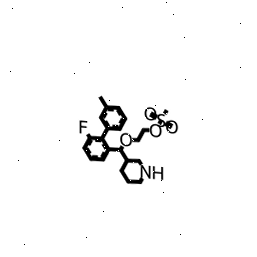 Cc1cccc(-c2c(F)cccc2C(OCCOS(C)(=O)=O)C2CCCNC2)c1